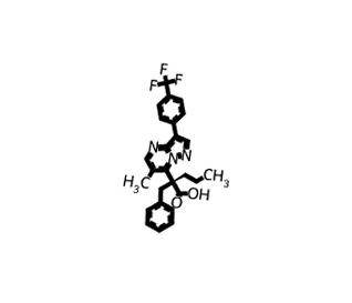 CCC[C@](Cc1ccccc1)(C(=O)O)c1c(C)cnc2c(-c3ccc(C(F)(F)F)cc3)cnn12